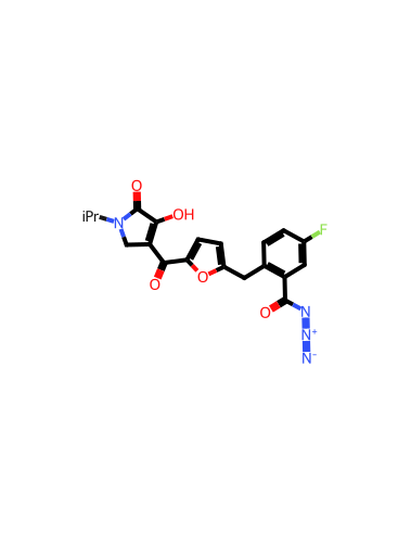 CC(C)N1CC(C(=O)c2ccc(Cc3ccc(F)cc3C(=O)N=[N+]=[N-])o2)=C(O)C1=O